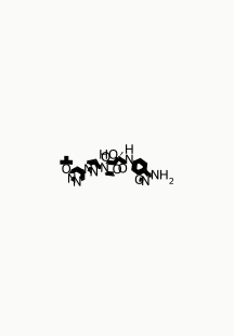 CC(C)(C)Oc1cc(-n2ccc(N3CCO[C@H]([C@@](C)(O)C(=O)Nc4ccc5c(N)noc5c4)C3=O)n2)cnn1